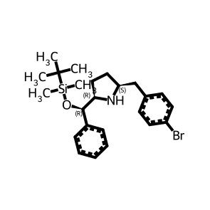 CC(C)(C)[Si](C)(C)O[C@H](c1ccccc1)[C@H]1CC[C@@H](Cc2ccc(Br)cc2)N1